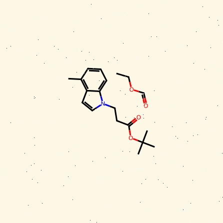 CCOC=O.Cc1cccc2c1ccn2CCC(=O)OC(C)(C)C